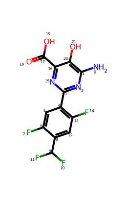 Nc1nc(-c2cc(F)c(C(F)F)cc2F)nc(C(=O)O)c1O